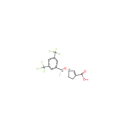 COC(=O)C1=C[C@@H](O[C@H](C)c2cc(C(F)(F)F)cc(C(F)(F)F)c2)CC1